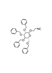 [C-]#[N+]CCO[C@H]1O[C@H](COCc2ccccc2)[C@@H](OCc2ccccc2)[C@H](OCc2ccccc2)[C@@H]1OCc1ccccc1